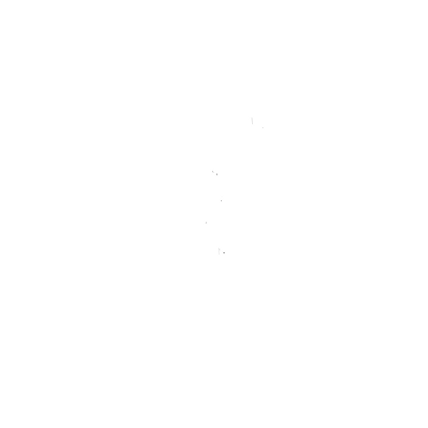 C=C=NC(=O)C(=O)N=C=C